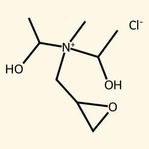 CC(O)[N+](C)(CC1CO1)C(C)O.[Cl-]